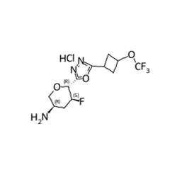 Cl.N[C@H]1CO[C@H](c2nnc(C3CC(OC(F)(F)F)C3)o2)[C@@H](F)C1